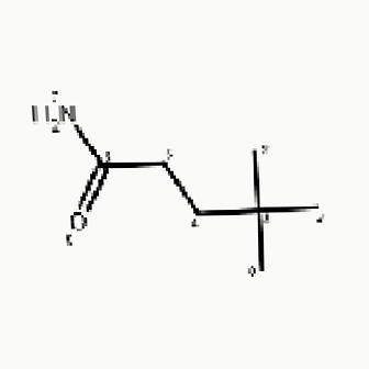 CC(C)(C)CCC(N)=O